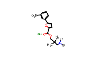 CCN(CC)CC(C)(C)COC(=O)c1ccc(-c2cccc([N+](=O)[O-])c2)o1.Cl